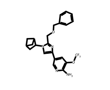 Nc1ncc(-c2cn(C3CC4CC3C4)c(COCc3ccccc3)n2)cc1OC(F)(F)F